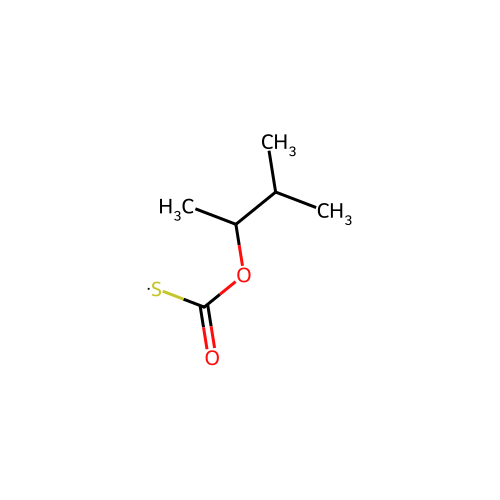 CC(C)C(C)OC(=O)[S]